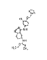 CCO/C(=N\C)Nc1ccc2ncnc(Nc3ccc(OCc4nccs4)c(Cl)c3)c2c1